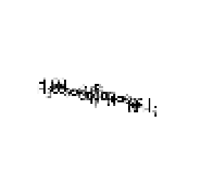 C=C(C)C(=O)OCOc1ccc(C(=O)Oc2ccc(C(c3ccc(OC(=O)c4ccc(OCOC(=O)C(=C)C)cc4)cc3)(C(F)(F)F)C(F)(F)F)cc2)cc1